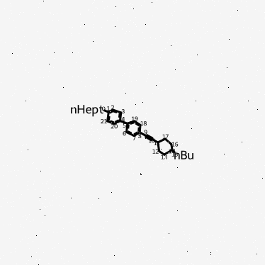 CCCCCCCc1ccc(-c2ccc(C#CC3CCC(CCCC)CC3)cc2)cc1